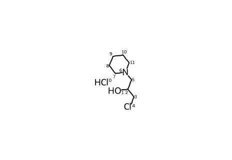 Cl.OC(CCl)CN1CCCCC1